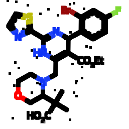 CCOC(=O)C1=C(CN2CCOCC2C(C)(C)C(=O)O)NC(c2nccs2)=NC1c1ccc(F)cc1Br